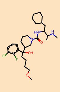 CNC(C)C(CC1CCCCC1)NC(=O)N1CCCC(C(O)(CCCCOC)c2cccc(Cl)c2F)C1